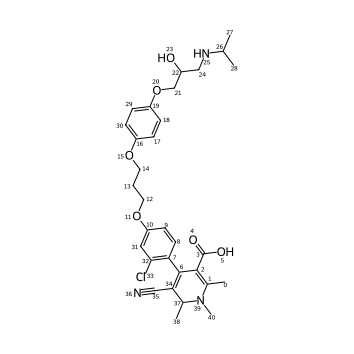 CC1=C(C(=O)O)C(c2ccc(OCCCOc3ccc(OCC(O)CNC(C)C)cc3)cc2Cl)=C(C#N)C(C)N1C